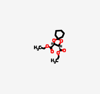 CCOC(=O)[C@H]1OC2(CCCCC2)O[C@@H]1C(=O)OCC